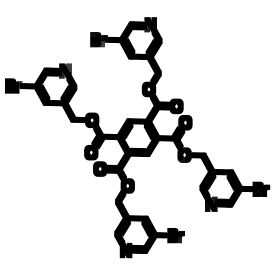 O=C(OCc1cncc(Br)c1)c1cc(C(=O)OCc2cncc(Br)c2)c(C(=O)OCc2cncc(Br)c2)cc1C(=O)OCc1cncc(Br)c1